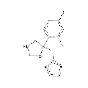 CC1NCOC1(Cn1cncn1)c1ccc(F)cc1F